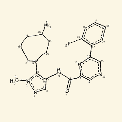 Cn1ncc(NC(=O)c2cncc(-c3ccccc3F)n2)c1N1CCCC(N)CC1